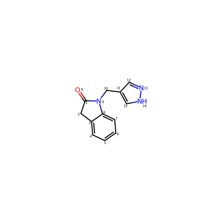 O=C1Cc2ccccc2N1Cc1cn[nH]c1